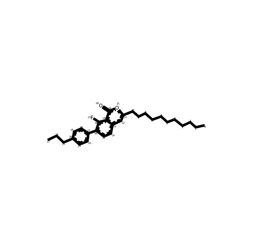 CCCCCCCCCCCc1cc2ccc(-c3ccc(CCC)cc3)c(F)c2c(=O)o1